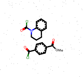 COC(=O)c1ccc(C(=O)Cl)cc1.O=C(Cl)N1CCCc2ccccc21